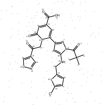 CC(C)(C)C(=O)n1nc(-c2cc(C(=O)O)cc(=O)n2CC(=O)c2cnoc2)cc1NCc1ccc(Cl)s1